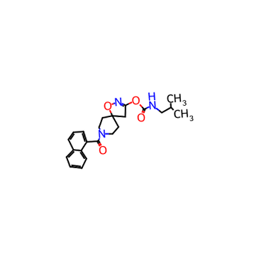 CC(C)CNC(=O)OC1=NOC2(CCN(C(=O)c3cccc4ccccc34)CC2)C1